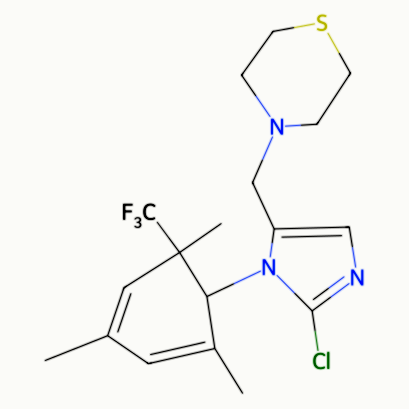 CC1=CC(C)(C(F)(F)F)C(n2c(CN3CCSCC3)cnc2Cl)C(C)=C1